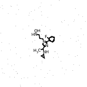 CC(NC1CC1)c1cn(CCCNO)c(-c2ccccc2F)n1